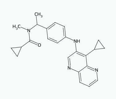 CC(c1ccc(Nc2cnc3cccnc3c2C2CC2)cc1)N(C)C(=O)C1CC1